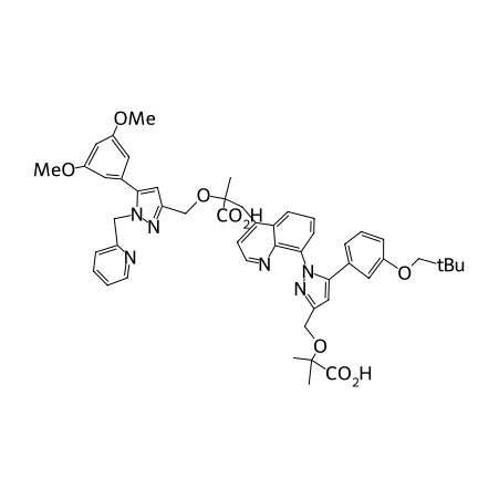 COc1cc(OC)cc(-c2cc(COC(C)(Cc3ccnc4c(-n5nc(COC(C)(C)C(=O)O)cc5-c5cccc(OCC(C)(C)C)c5)cccc34)C(=O)O)nn2Cc2ccccn2)c1